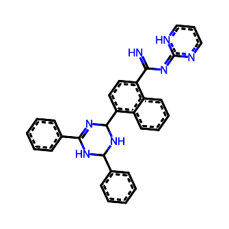 N=C(/N=c1/nccc[nH]1)c1ccc(C2N=C(c3ccccc3)NC(c3ccccc3)N2)c2ccccc12